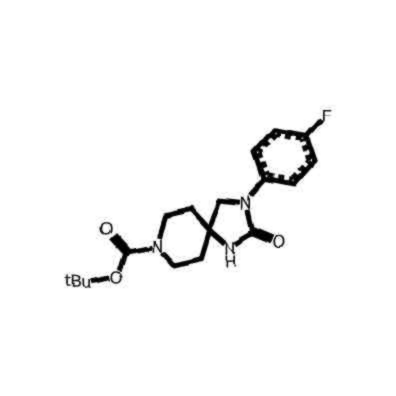 CC(C)(C)OC(=O)N1CCC2(CC1)CN(c1ccc(F)cc1)C(=O)N2